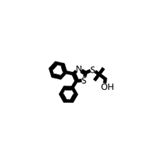 CC(C)(CO)Sc1nc(-c2ccccc2)c(-c2ccccc2)s1